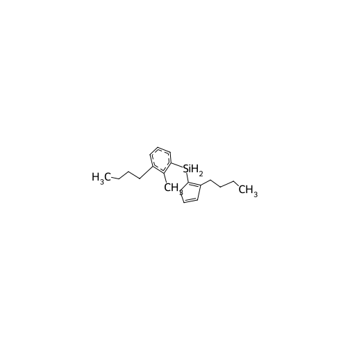 CCCCC1=C([SiH2]c2cccc(CCCC)c2C)CC=C1